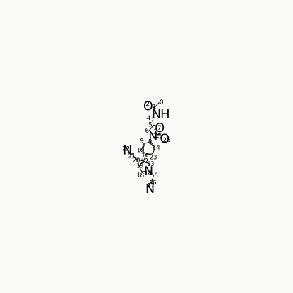 CC(=O)NC[C@H]1CN(c2ccc(C34CN(CC#N)CC3C4C#N)cc2)C(=O)O1